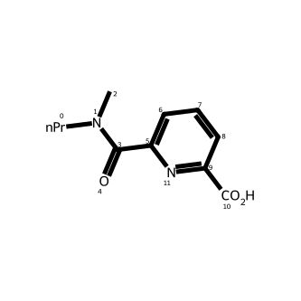 CCCN(C)C(=O)c1cccc(C(=O)O)n1